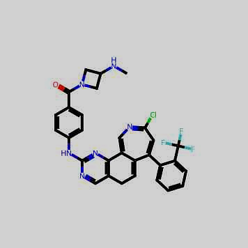 CNC1CN(C(=O)c2ccc(Nc3ncc4c(n3)C3=CN=C(Cl)C=C(c5ccccc5C(F)(F)F)C3=CC4)cc2)C1